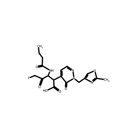 CCCC(=O)NC(C(=O)CF)C(C(=O)O)c1ccnn(Cc2coc(C)n2)c1=O